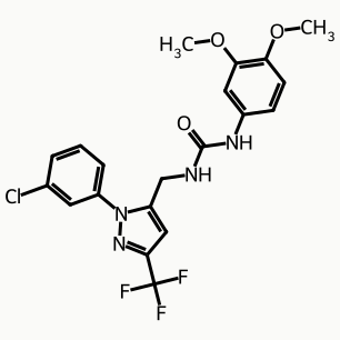 COc1ccc(NC(=O)NCc2cc(C(F)(F)F)nn2-c2cccc(Cl)c2)cc1OC